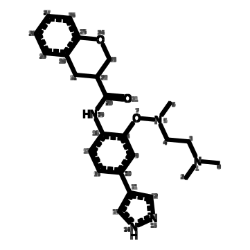 CN(C)CCN(C)Oc1cc(-c2cn[nH]c2)ccc1NC(=O)C1COc2ccccc2C1